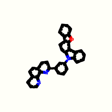 c1cc(-c2ccc3ccc4cccnc4c3n2)cc(-n2c3ccccc3c3c4oc5ccccc5c4ccc32)c1